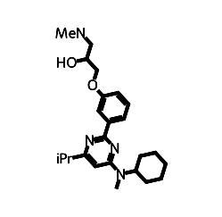 CNCC(O)COc1cccc(-c2nc(C(C)C)cc(N(C)C3CCCCC3)n2)c1